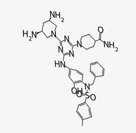 Cc1ccc(S(=O)(=O)N(Cc2ccccc2)c2ccc(Nc3nc(N4CCC(C(N)=O)CC4)nc(N4C[C@H](N)C[C@H](N)C4)n3)cc2O)cc1